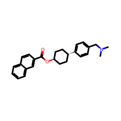 CN(C)Cc1ccc([C@H]2CC[C@H](OC(=O)c3ccc4ccccc4c3)CC2)cc1